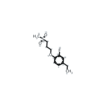 CCc1ccc(OCCCS(C)(=O)=O)c(F)c1